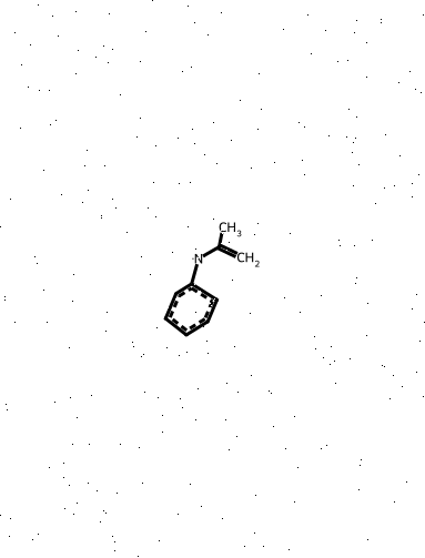 C=C(C)[N]c1ccccc1